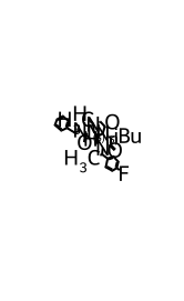 CCC(C)[C@H]1C(=O)N(C(C)c2ccc(F)cc2)C[C@H]2N1C(=O)CN(C)N2C(=O)NCc1ccccc1